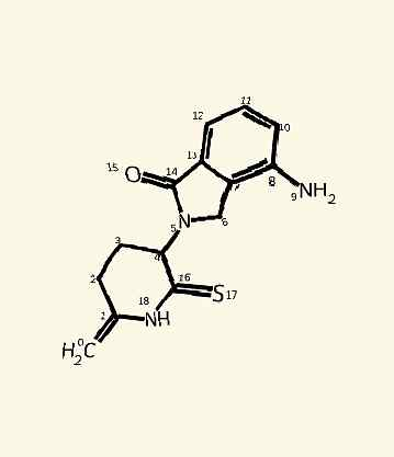 C=C1CCC(N2Cc3c(N)cccc3C2=O)C(=S)N1